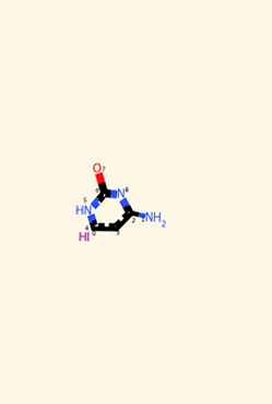 I.Nc1cc[nH]c(=O)n1